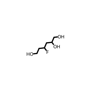 OCCC(F)CC(O)CO